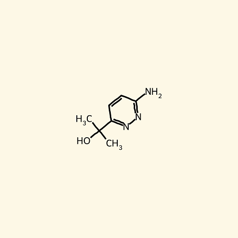 CC(C)(O)c1ccc(N)nn1